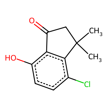 CC1(C)CC(=O)c2c(O)ccc(Cl)c21